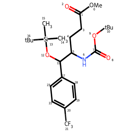 COC(=O)CCC(NC(=O)OC(C)(C)C)C(O[Si](C)(C)C(C)(C)C)c1ccc(C(F)(F)F)cc1